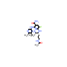 CC(=O)NCCC[C@@H](Nc1nc(Nc2cnc(C)c(C)c2)c(C(N)=O)cc1F)[C@H](C)N